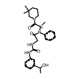 CC(O)c1cccc(NC(=O)NCC(=O)N(c2ccccc2)[C@H](C)C(=O)N2CCCC(C)(C)C2)c1